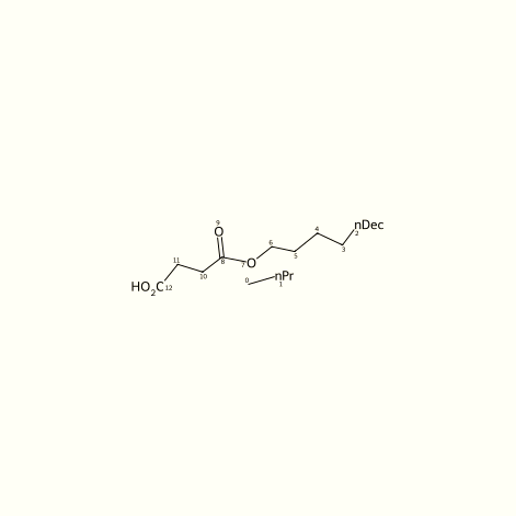 CCCC.CCCCCCCCCCCCCCOC(=O)CCC(=O)O